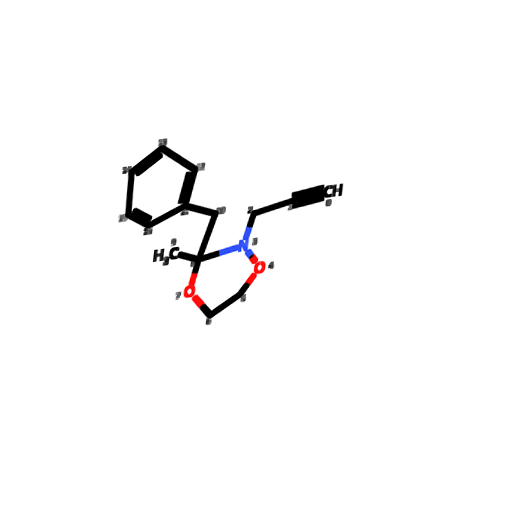 C#CCN1OCCOC1(C)Cc1ccccc1